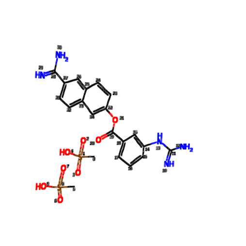 CS(=O)(=O)O.CS(=O)(=O)O.N=C(N)Nc1cccc(C(=O)Oc2ccc3cc(C(=N)N)ccc3c2)c1